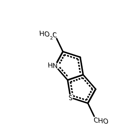 O=Cc1cc2cc(C(=O)O)[nH]c2s1